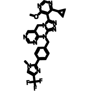 COc1ncnc(C2CC2)c1-c1nnc2n1Cc1cncnc1N2Cc1ccc(-c2nc(C(F)(F)F)cn2C)cc1